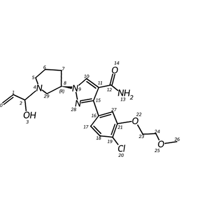 C=CC(O)N1CCC[C@@H](n2cc(C(N)=O)c(-c3ccc(Cl)c(OCCOC)c3)n2)C1